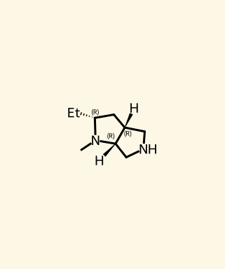 CC[C@@H]1C[C@@H]2CNC[C@@H]2N1C